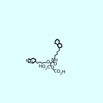 O=C(O)COC(C(=O)O)C(OCCCCCc1ccc2cncn2c1)C(=O)NCCCCCc1ccc2ccccc2c1